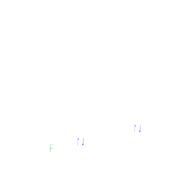 CN1CCN(F)C(c2ccccc2)=C1c1ccccc1